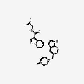 CN1CCN(Cc2cnc3[nH]cc(-c4ccn5ncc(C(=O)NCC(F)F)c5c4)c3c2)CC1